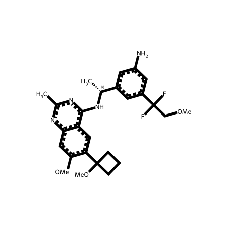 COCC(F)(F)c1cc(N)cc([C@@H](C)Nc2nc(C)nc3cc(OC)c(C4(OC)CCC4)cc23)c1